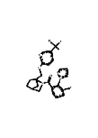 O=C(c1cccc(F)c1-n1nccn1)N1CC2CCC1(COc1ccc(C(F)(F)F)cn1)C2